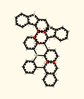 c1cc(-c2cccc3sc4ccccc4c23)cc(N(c2ccccc2-c2cccc3ccccc23)c2ccccc2-c2cccc3sc4ccccc4c23)c1